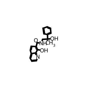 C[C@](O)(CNC(=O)c1ccc2cccnc2c1O)c1ccccc1